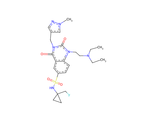 CCN(CC)CCn1c(=O)n(Cc2cnn(C)c2)c(=O)c2cc(S(=O)(=O)NC3(CF)CC3)ccc21